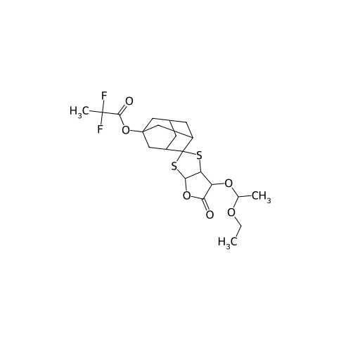 CCOC(C)OC1C(=O)OC2SC3(SC21)C1CC2CC3CC(OC(=O)C(C)(F)F)(C2)C1